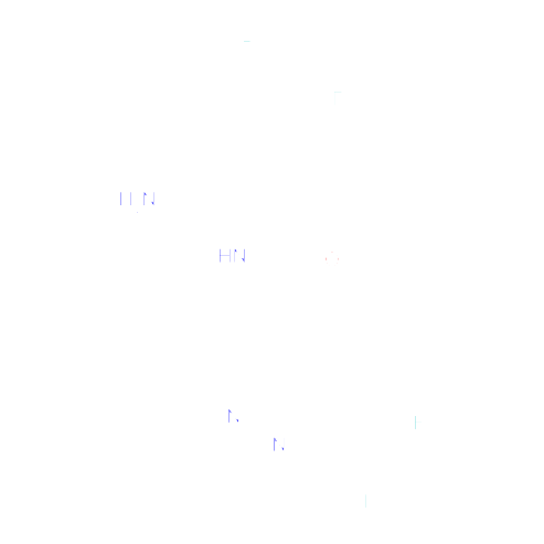 Nc1cc(F)c(F)cc1NC(=O)c1cnnc(C(F)F)c1